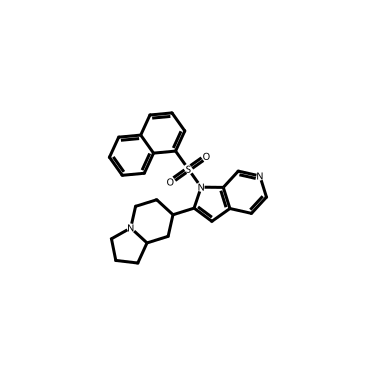 O=S(=O)(c1cccc2ccccc12)n1c(C2CCN3CCCC3C2)cc2ccncc21